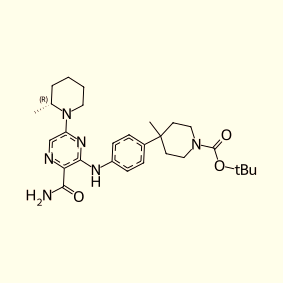 C[C@@H]1CCCCN1c1cnc(C(N)=O)c(Nc2ccc(C3(C)CCN(C(=O)OC(C)(C)C)CC3)cc2)n1